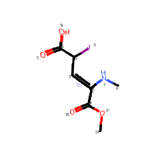 CN/C(=C\C(I)C(=O)O)C(=O)OC